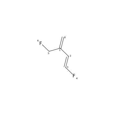 C=C(/C=C/F)CF